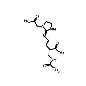 CC(=O)NC[C@H](CS/N=C1\NCCN1CC(=O)O)C(=O)O